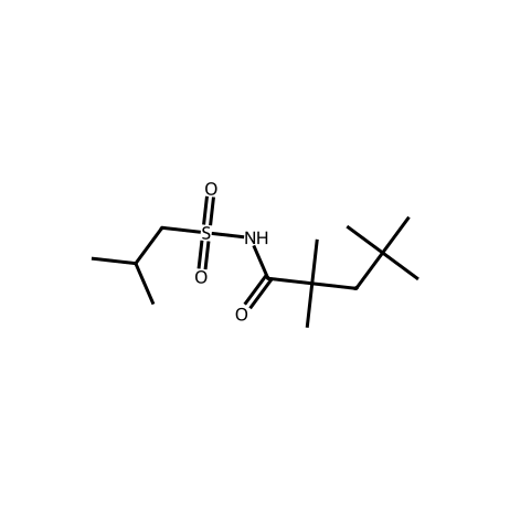 CC(C)CS(=O)(=O)NC(=O)C(C)(C)CC(C)(C)C